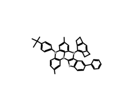 Cc1ccc2c(c1)B1c3sc4ccc(-c5ccccc5)cc4c3N(c3c4c(cc5c3CC5)CC4)c3cc(C)cc(c31)N2c1ccc(C(C)(C)C)cc1